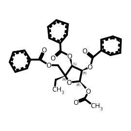 CC[C@]1(COC(=O)c2ccccc2)O[C@H](OC(C)=O)[C@H](OC(=O)c2ccccc2)[C@@H]1OC(=O)c1ccccc1